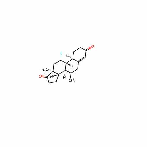 C[C@@H]1CC2=CC(=O)CC[C@@H]2[C@@H]2[C@@H]1[C@@H]1CCC(=O)[C@@]1(C)C[C@@H]2F